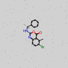 Cc1c(Br)ccc2nc(N[C@H](C)c3ccccc3)oc(=O)c12